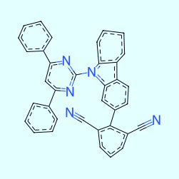 N#Cc1cccc(C#N)c1-c1ccc2c3ccccc3n(-c3nc(-c4ccccc4)cc(-c4ccccc4)n3)c2c1